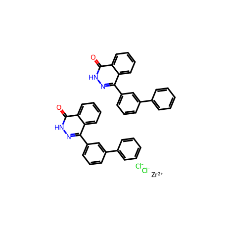 O=c1[nH]nc(-c2cccc(-c3ccccc3)c2)c2ccccc12.O=c1[nH]nc(-c2cccc(-c3ccccc3)c2)c2ccccc12.[Cl-].[Cl-].[Zr+2]